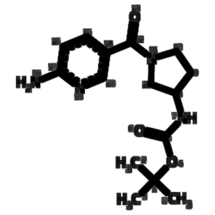 CC(C)(C)OC(=O)NC1CCN(C(=O)c2ccc(N)nc2)C1